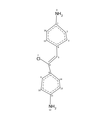 Nc1ccc(C=C(Cl)c2ccc(N)cc2)cc1